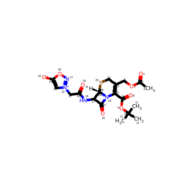 CC(=O)OCC1=C(C(=O)OC(C)(C)C)N2C(=O)C(NC(=O)C[n+]3cc([O-])on3)[C@@H]2SC1